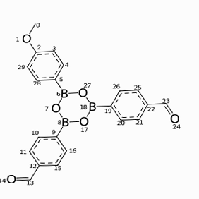 COc1ccc(B2OB(c3ccc(C=O)cc3)OB(c3ccc(C=O)cc3)O2)cc1